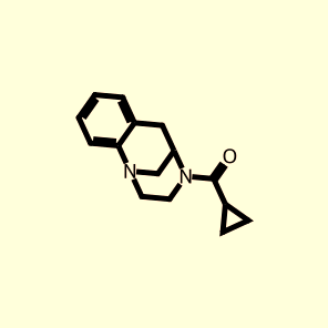 O=C(C1CC1)N1CCN2CC1Cc1ccccc12